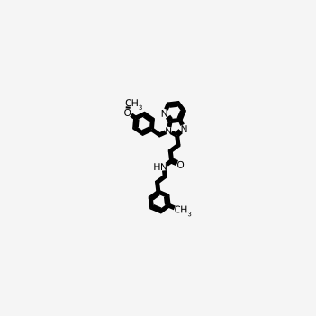 COc1ccc(Cn2c(CCC(=O)NCCc3cccc(C)c3)nc3cccnc32)cc1